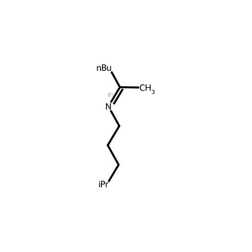 CCCC/C(C)=N/CCCC(C)C